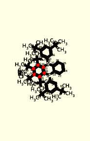 CC(C)(C)c1cc(P(c2cc(C(C)(C)C)cc(C(C)(C)C)c2)c2ccccc2P(c2cc(C(C)(C)C)cc(C(C)(C)C)c2)c2cc(C(C)(C)C)cc(C(C)(C)C)c2)cc(C(C)(C)C)c1.[Cl][Fe]